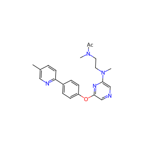 CC(=O)N(C)CCN(C)c1cncc(Oc2ccc(-c3ccc(C)cn3)cc2)n1